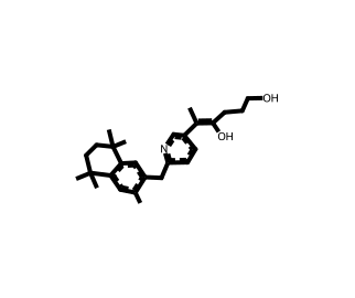 C/C(=C(/O)CCCO)c1ccc(Cc2cc3c(cc2C)C(C)(C)CCC3(C)C)nc1